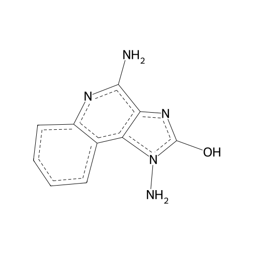 Nc1nc2ccccc2c2c1nc(O)n2N